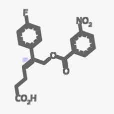 O=C(O)CC/C=C(\COC(=O)c1cccc([N+](=O)[O-])c1)c1ccc(F)cc1